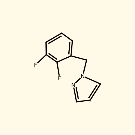 Fc1cccc(Cn2c[c]cn2)c1F